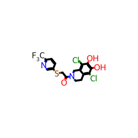 O=C(CSc1ccc(C(F)(F)F)nc1)N1CCc2c(Cl)c(O)c(O)c(Cl)c2C1